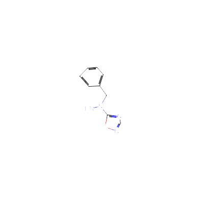 NN(Cc1ccccc1)c1ncno1